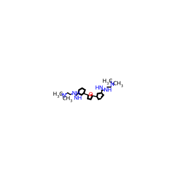 CN(C)CCNC(=N)c1cccc(-c2ccc(-c3cccc(C(=N)NCCN(C)C)c3)o2)c1